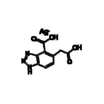 O=C(O)Cc1ccc2[nH]nnc2c1C(=O)O.[Ag]